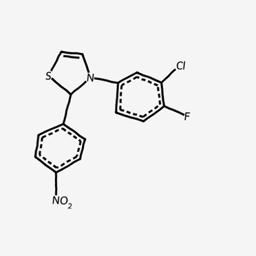 O=[N+]([O-])c1ccc(C2SC=CN2c2ccc(F)c(Cl)c2)cc1